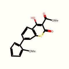 COC(=O)c1c(O)c2ccc(-c3ccccc3OC)cc2sc1=O